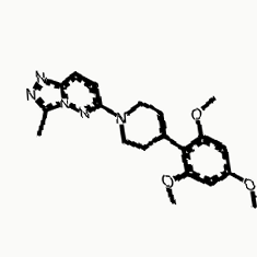 COc1cc(OC)c(C2=CCN(c3ccc4nnc(C)n4n3)CC2)c(OC)c1